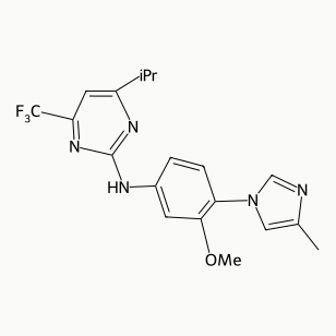 COc1cc(Nc2nc(C(C)C)cc(C(F)(F)F)n2)ccc1-n1cnc(C)c1